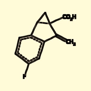 C=C1c2cc(F)ccc2C2CC12C(=O)O